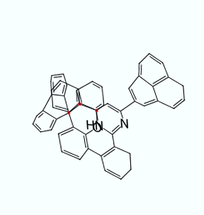 C1=CC(c2cccc3c2Oc2ccccc2C32c3ccccc3-c3ccccc32)=C(C2=NC(c3cc4c5c(cccc5c3)CC=C4)=CC(c3ccccc3)N2)CC1